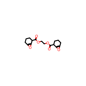 O=C(OCCOC(=O)C1CCCC2=C1O2)C1CCCC2=C1O2